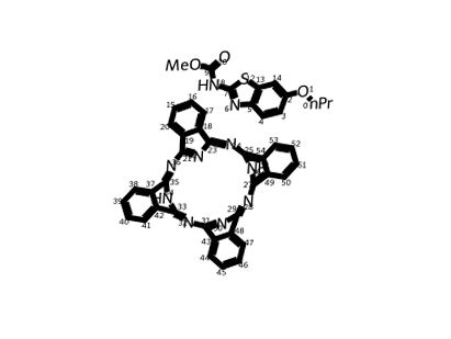 CCCOc1ccc2nc(NC(=O)OC)sc2c1.c1ccc2c(c1)-c1nc-2nc2[nH]c(nc3nc(nc4[nH]c(n1)c1ccccc41)-c1ccccc1-3)c1ccccc21